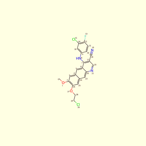 COc1cc2cc3c(Nc4ccc(F)c(Cl)c4)c(C#N)cnc3cc2cc1OCCCl